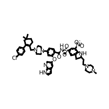 CN1CCN(CCC2Cc3cc(S(=O)(=O)NC(=O)c4ccc(N5CCN(CC6=C(c7ccc(Cl)cc7)CC(C)(C)CC6)CC5)cc4Oc4cnc5[nH]ccc5c4)cc([N+](=O)[O-])c3N2)CC1